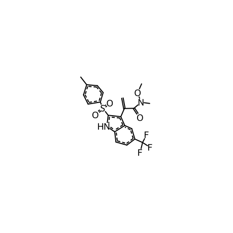 C=C(C(=O)N(C)OC)c1c(S(=O)(=O)c2ccc(C)cc2)[nH]c2ccc(C(F)(F)F)cc12